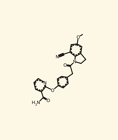 COc1cc(C#N)c2c(c1)CCN2C(=O)Cc1ccc(Oc2ncccc2C(N)=O)cc1